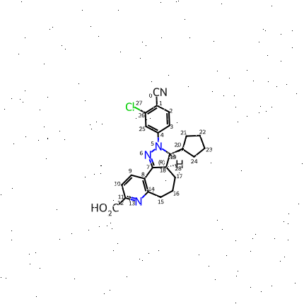 N#Cc1ccc(N2N=C3c4ccc(C(=O)O)nc4CCC[C@@H]3[C@@H]2C2CCCC2)cc1Cl